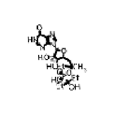 CCC(C)(CC1O[C@@H](n2cnc3c(=O)[nH]cnc32)[C@H](O)C1O)OP(=O)(O)C(O)(CC)CC